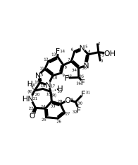 CC(C)(O)c1ncc(-c2cc3c(cc2F)nc2n3[C@@H]3C[C@H]2NC(=O)c2cccc(OC(F)F)c23)c(C(F)F)n1